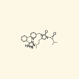 CCCCc1cn(C2C(=O)C2C(C)C)c(=O)n1Cc1ccc(-c2ccccc2-c2nnn[nH]2)nc1